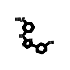 N#Cc1cccc(-c2csc(Nc3cccc(C(=O)O)c3)n2)c1